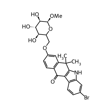 CO[C@H]1OC(COc2ccc3c(c2)C(C)(C)c2[nH]c4cc(Br)ccc4c2C3=O)[C@@H](O)[C@H](O)[C@H]1O